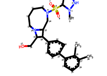 CCCN1NCCC1S(=O)(=O)N1CCCCN2C(CO)C(c3ccc(-c4cccc(C)c4C)cc3)C2C1